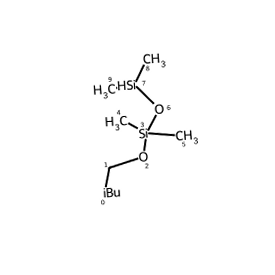 CCC(C)CO[Si](C)(C)O[SiH](C)C